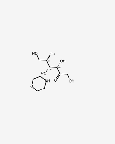 C1COCCN1.O=C(CO)[C@@H](O)[C@H](O)[C@H](O)CO